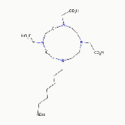 CCCCCCCCCCCCCCCCN1CCN(CC(=O)O)CCN(CC(=O)O)CCN(CC(=O)O)CC1